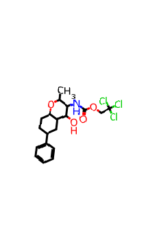 CC1OC2CCC(c3ccccc3)CC2C(O)C1NC(=O)OCC(Cl)(Cl)Cl